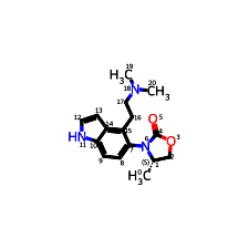 C[C@H]1COC(=O)N1c1ccc2[nH]ccc2c1CCN(C)C